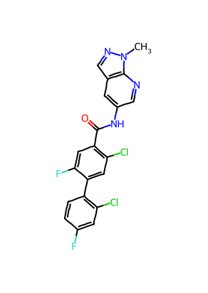 Cn1ncc2cc(NC(=O)c3cc(F)c(-c4ccc(F)cc4Cl)cc3Cl)cnc21